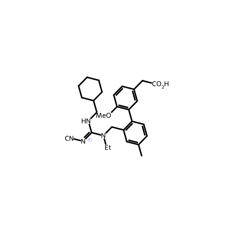 [C-]#[N+]/N=C(\NCC1CCCCC1)N(CC)Cc1cc(C)ccc1-c1cc(CC(=O)O)ccc1OC